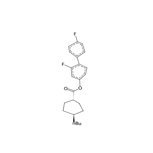 CCCC[C@H]1CC[C@H](C(=O)Oc2ccc(-c3ccc(F)cc3)c(F)c2)CC1